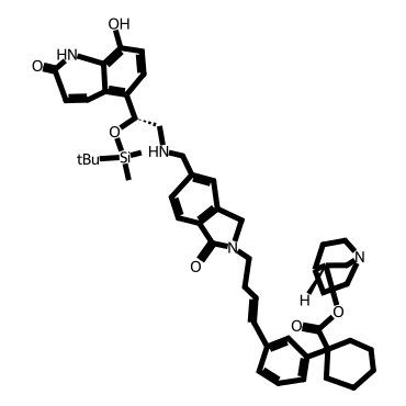 CC(C)(C)[Si](C)(C)O[C@@H](CNCc1ccc2c(c1)CN(CCC=Cc1cccc(C3(C(=O)O[C@H]4CN5CCC4CC5)CCCCC3)c1)C2=O)c1ccc(O)c2[nH]c(=O)ccc12